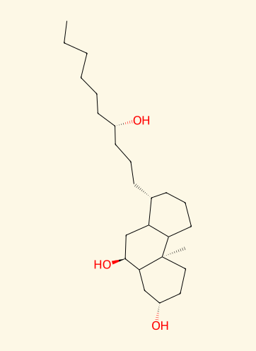 CCCCCC[C@H](O)CCC[C@@H]1CCCC2C1C[C@H](O)C1C[C@@H](O)CC[C@]21C